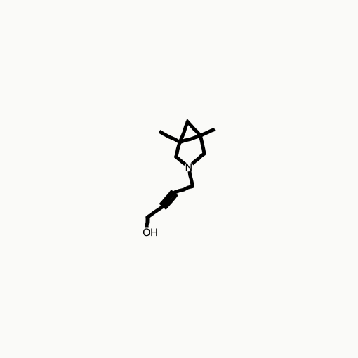 CC12CN(CC#CCO)CC1(C)C2